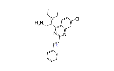 CCN(CC)C(CN)c1nc(/C=C/c2ccccc2)nc2cc(Cl)ccc12